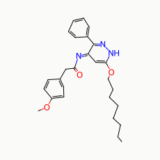 CCCCCCCCOc1cc(=NC(=O)Cc2ccc(OC)cc2)c(-c2ccccc2)n[nH]1